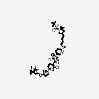 CN(CCCCC1CN(C(=O)OC(C)(C)C)C(C)(C)C1)c1ccc(S(=O)(=O)NC(=O)c2ccc(-n3ccc(OCCC4(C(F)(F)F)CC4)n3)nc2Cl)cn1